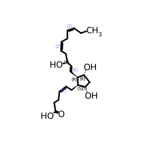 CC/C=C\C/C=C\C[C@H](O)/C=C/[C@@H]1[C@H](C/C=C\CCC(=O)O)[C@@H](O)C[C@H]1O